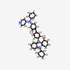 c1ccc(N(c2ccncc2)c2ccc3c(c2)oc2cc4c(cc23)Oc2cccc3c2B4c2ccccc2N3c2ccccc2)cc1